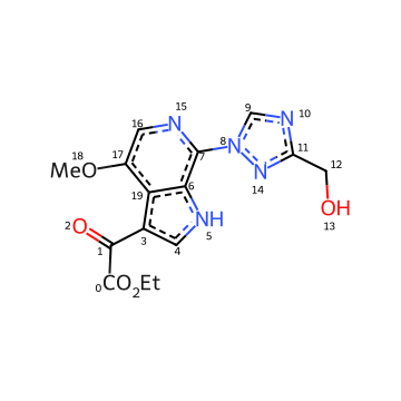 CCOC(=O)C(=O)c1c[nH]c2c(-n3cnc(CO)n3)ncc(OC)c12